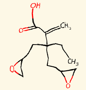 C=C(C(=O)O)C(CC)(CC1CO1)CC1CO1